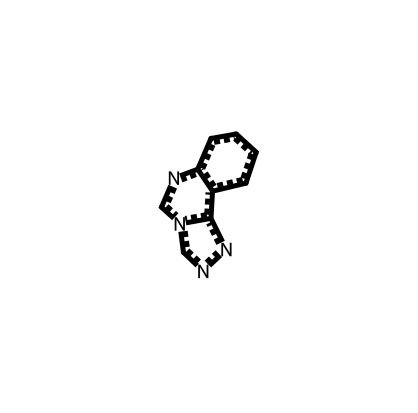 c1ccc2c(c1)ncn1cnnc21